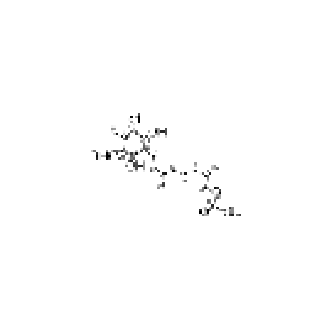 Cc1c(Cl)c(O)c(CCC(C)CCCC(C)COC(=O)C(C)(C)C)c(O)c1C=O